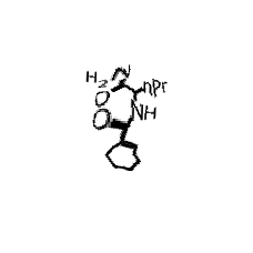 CCCC(NC(=O)C1=CCCCC1)C(N)=O